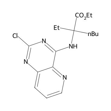 CCCCC(CC)(Nc1nc(Cl)nc2cccnc12)C(=O)OCC